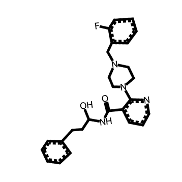 O=C(NC(O)CCc1ccccc1)c1cccnc1N1CCN(Cc2ccccc2F)CC1